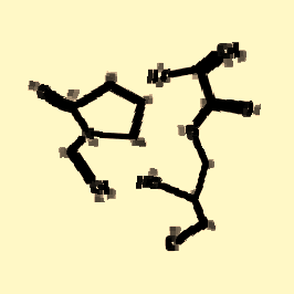 C=C(C)C(=O)OCC(O)CCl.C=CN1CCCC1=O